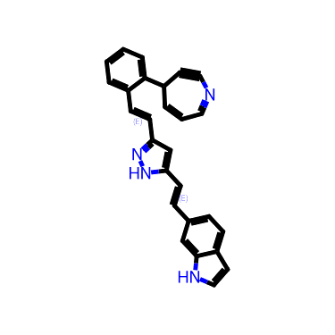 C1#CC(c2ccccc2/C=C/c2cc(/C=C/c3ccc4cc[nH]c4c3)[nH]n2)C=CC=N1